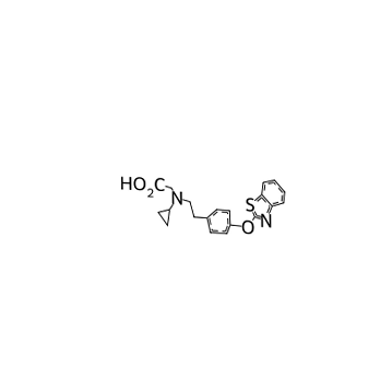 O=C(O)CN(CCc1ccc(Oc2nc3ccccc3s2)cc1)C1CC1